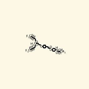 CCC(C)(C)C(=O)N[C@H]1CC[C@H](OC(=O)/C=C/c2ccc(OCCCC(C)(OCCC(F)(F)C(F)(F)C(F)(F)C(F)(F)F)OCCC(F)(F)C(F)(F)C(F)(F)C(F)(F)F)cc2)CC1